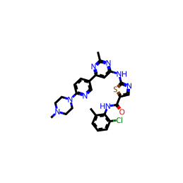 Cc1nc(Nc2ncc(C(=O)Nc3c(C)cccc3Cl)s2)cc(-c2ccc(N3CCN(C)CC3)nc2)n1